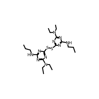 CCCNc1nc(SSc2nc(NCCC)nc(N(CC)CC)n2)nc(N(CC)CC)n1